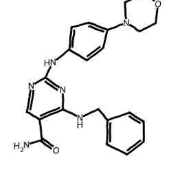 NC(=O)c1cnc(Nc2ccc(N3CCOCC3)cc2)nc1NCc1ccccc1